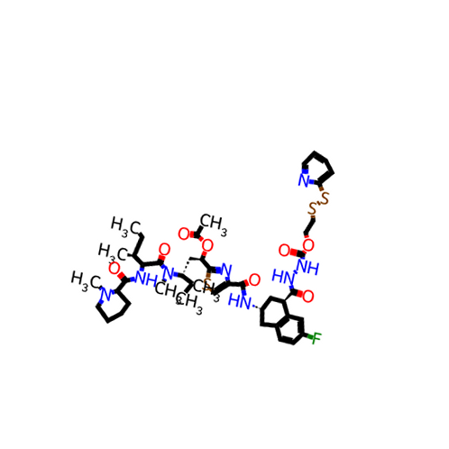 CC[C@H](C)C(NC(=O)C1CCCCN1C)C(=O)N(C)[C@H](C[C@@H](OC(C)=O)c1nc(C(=O)N[C@H]2Cc3ccc(F)cc3[C@H](C(=O)NNC(=O)OCCSSc3ccccn3)C2)cs1)C(C)C